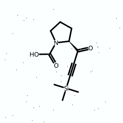 C[Si](C)(C)C#CC(=O)[C@@H]1CCCN1C(=O)O